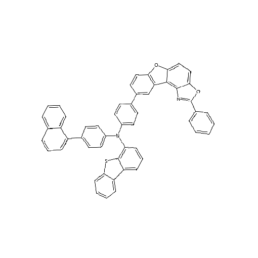 c1ccc(-c2nc3c(ccc4oc5ccc(-c6ccc(N(c7ccc(-c8cccc9ccccc89)cc7)c7cccc8c7sc7ccccc78)cc6)cc5c43)o2)cc1